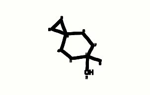 CC1(O)CCC2(CC1)CC2